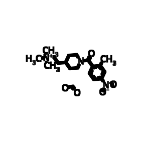 Cc1cc([N+](=O)[O-])ccc1C(=O)N1CCC(CC[N+](C)(C)C)CC1.O=C[O-]